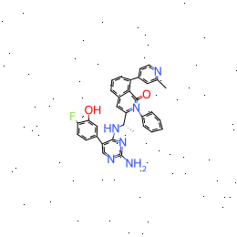 Cc1cc(-c2cccc3cc([C@H](C)Nc4nc(N)ncc4-c4ccc(F)c(O)c4)n(-c4ccccc4)c(=O)c23)ccn1